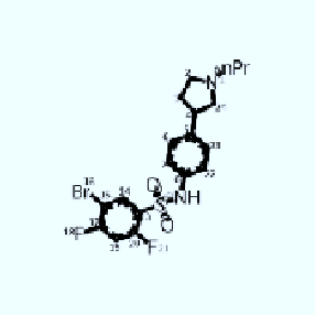 CCCN1CCC(c2ccc(NS(=O)(=O)c3cc(Br)c(F)cc3F)cc2)C1